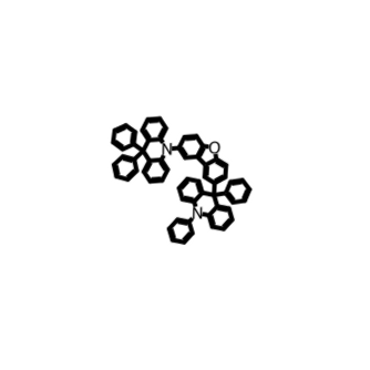 c1ccc(N2c3ccccc3C(c3ccccc3)(c3ccc4oc5ccc(N6c7ccccc7C(c7ccccc7)(c7ccccc7)c7ccccc76)cc5c4c3)c3ccccc32)cc1